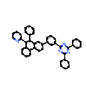 c1ccc(-c2nc(-c3ccccc3)nc(-c3cccc(-c4ccc5c(c4)c(-c4ccccc4)c(-c4ccccn4)c4ccccc45)c3)n2)cc1